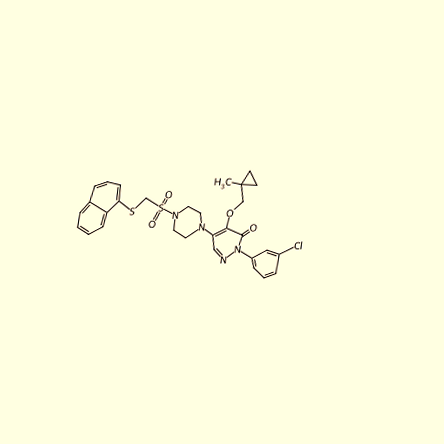 CC1(COc2c(N3CCN(S(=O)(=O)CSc4cccc5ccccc45)CC3)cnn(-c3cccc(Cl)c3)c2=O)CC1